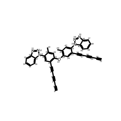 C#CC#CC#Cc1cc(-n2nnc3ccccc32)c(C)cc1Oc1cc(C#CC#CC#C)c(-n2nnc3ccccc32)cc1C